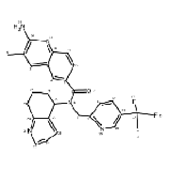 Cc1cc2cc(C(=O)N(Cc3ccc(C(F)(F)F)cn3)C3CCCc4ncccc43)ccc2nc1N